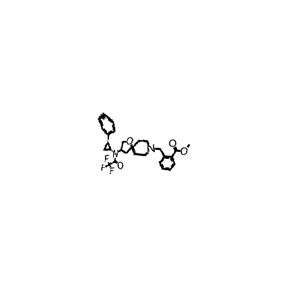 COC(=O)c1ccccc1CN1CCC2(CC1)CC(N(C(=O)C(F)(F)F)[C@@H]1C[C@H]1c1ccccc1)CO2